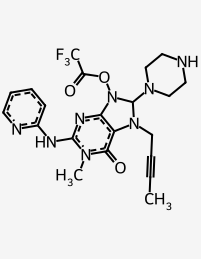 CC#CCN1c2c(nc(Nc3ccccn3)n(C)c2=O)N(OC(=O)C(F)(F)F)C1N1CCNCC1